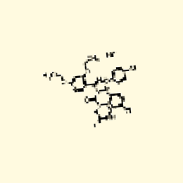 CCOc1cc(OCC)c(C2=N[C@@H](c3ccc(Cl)cc3)[C@@H](c3ccc(Cl)cc3)N2C(=O)N2CCNC(=O)C2)cn1.Cl